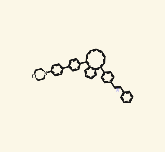 C(=C\c1ccc(-c2ccccccc(-c3ccc(-c4ccc(N5CCOCC5)cc4)cc3)c3ccccc23)cc1)/c1ccccc1